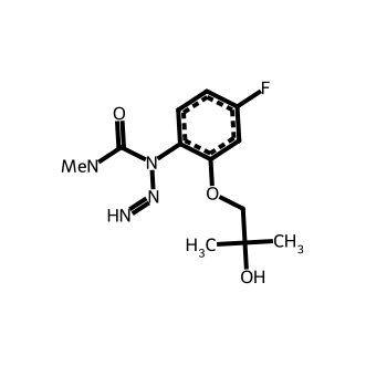 CNC(=O)N(N=N)c1ccc(F)cc1OCC(C)(C)O